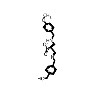 COc1ccc(CN/C=C(/C=N/Cc2ccc(CO)cc2)[N+](=O)[O-])cc1